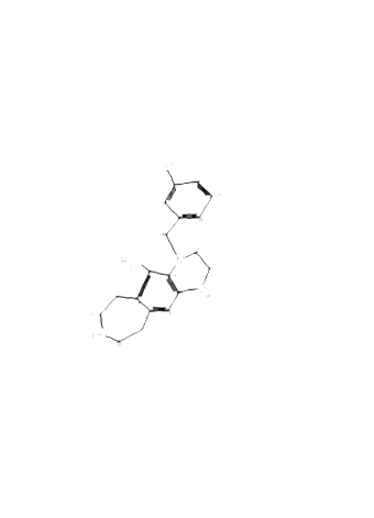 Cc1c2c(cc3c1N(Cc1cccc(Cl)c1)CCO3)CCNCC2